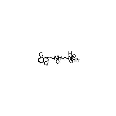 CC(C)S(=O)(=O)NCCCCC(=O)NCCSCc1c(Cl)cccc1Cl